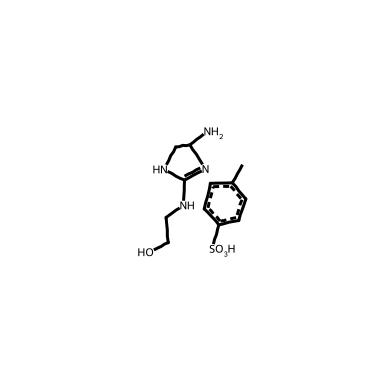 Cc1ccc(S(=O)(=O)O)cc1.NC1CNC(NCCO)=N1